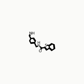 N=CC1C=CC(CNC(=O)c2cc3ccccc3s2)=CC1